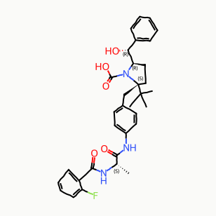 C[C@H](NC(=O)c1ccccc1F)C(=O)Nc1ccc(C[C@]2(C(C)(C)C)CC[C@H]([C@H](O)c3ccccc3)N2C(=O)O)cc1